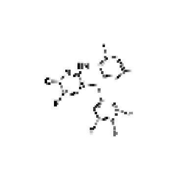 Cc1ccc(Nc2nc(=O)c(F)cn2Cc2cc(F)c(F)c(F)c2)c(C)c1